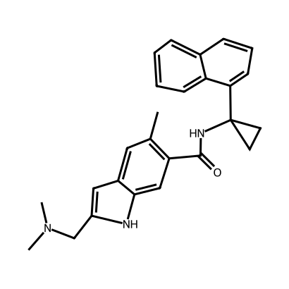 Cc1cc2cc(CN(C)C)[nH]c2cc1C(=O)NC1(c2cccc3ccccc23)CC1